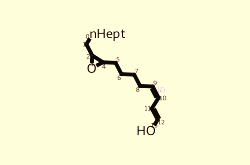 CCCCCCCCC1OC1CCCC/C=C\C=CO